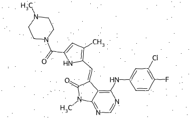 Cc1cc(C(=O)N2CCN(C)CC2)[nH]c1C=C1C(=O)N(C)c2ncnc(Nc3ccc(F)c(Cl)c3)c21